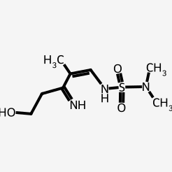 C/C(=C/NS(=O)(=O)N(C)C)C(=N)CCO